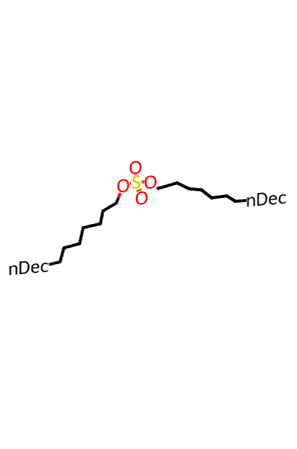 CCCCCCCCCCCCCCCCCOS(=O)(=O)OCCCCCCCCCCCCCCCCC